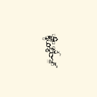 CNCc1ccc2c(=O)n(-c3ccc(C[C@H](NC(=O)c4c(Cl)cccc4Cl)C(=O)O)cc3)c(=O)n(C)c2c1